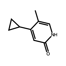 Cc1c[nH]c(=O)cc1C1CC1